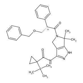 CC1(C)c2[nH]nc(NC(=O)C3(S(C)(C)C)CC3)c2CN1C(=O)[C@H](COCc1ccccc1)c1ccccc1